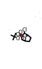 CC(C)(C)OC(=O)N1C2CCC1C(Cl)C(=O)C2